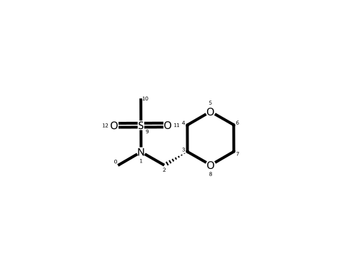 CN(C[C@@H]1COCCO1)S(C)(=O)=O